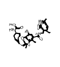 Cc1cc(C)c(CNC(=O)c2cc(Br)c3c(c2C)OC(C)(C[C@H]2CC[C@H](NC(=O)O)CC2)O3)c(=O)[nH]1